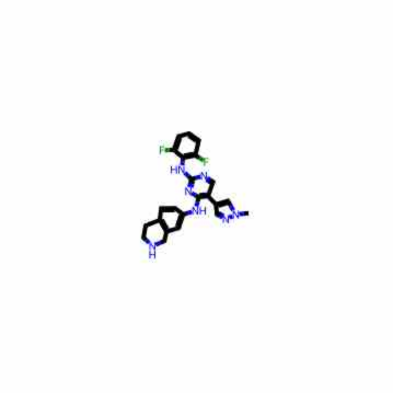 Cn1cc(-c2cnc(Nc3c(F)cccc3F)nc2Nc2ccc3c(c2)CNCC3)cn1